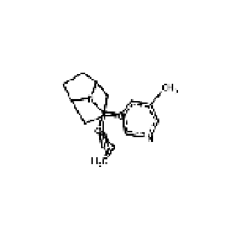 C=COC(=O)N1C2CCC1CC(C#N)(c1cncc(C)c1)C2